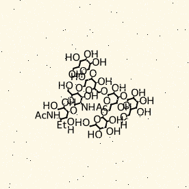 CCC(NC(C)=O)[C@H](O)[C@@H](O[C@@H]1OC(CO)[C@H](O[C@@H]2OC(CO[C@@H]3OC(CO[C@@H]4OC(CO)[C@@H](O)[C@@H](O)C4O)[C@@H](O)[C@H](O[C@@H]4OC(CO)[C@@H](O)[C@@H](O)C4O)C3O)[C@@H](O)[C@H](O[C@@H]3OC(CO)[C@@H](O)[C@@H](O)C3O)C2O)[C@@H](O)C1NC(C)=O)C(O)CO